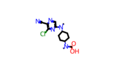 CN(C(=O)O)[C@H]1CC[C@H](N(C)c2cnc(C#N)c(Cl)n2)CC1